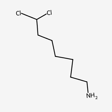 NCCCCCCC(Cl)Cl